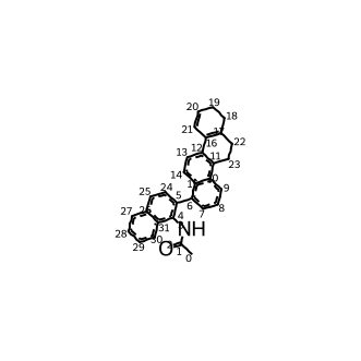 CC(=O)Nc1c(-c2cccc3c4c(ccc23)C2=C(CCC=C2)CC4)ccc2ccccc12